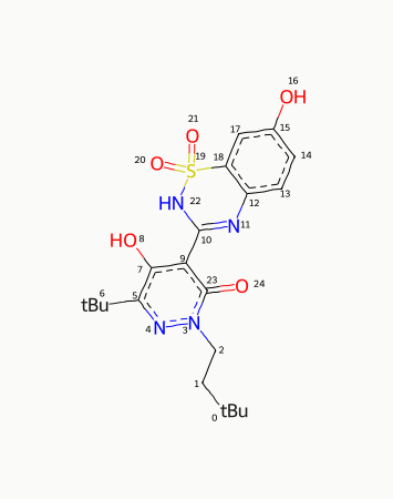 CC(C)(C)CCn1nc(C(C)(C)C)c(O)c(C2=Nc3ccc(O)cc3S(=O)(=O)N2)c1=O